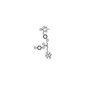 CCOC(Cc1ccc(OCCN(CCCOC(F)(F)C(F)(F)F)C(=O)Oc2ccc(OC)cc2)cc1)C(=O)O